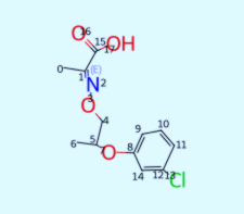 C/C(=N\OCC(C)Oc1cccc(Cl)c1)C(=O)O